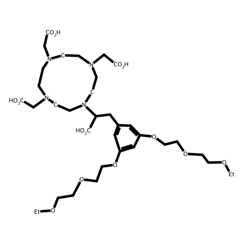 CCOCCOCCOc1cc(CC(C(=O)O)N2CCN(CC(=O)O)CCN(CC(=O)O)CCN(CC(=O)O)CC2)cc(OCCOCCOCC)c1